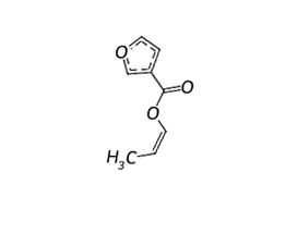 C/C=C\OC(=O)c1ccoc1